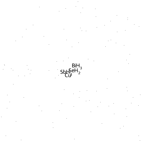 [BiH3].[Cu].[SbH3].[SeH2]